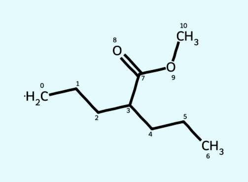 [CH2]CCC(CCC)C(=O)OC